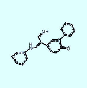 N=C/C(=C\Nc1ccccc1)c1ccc(=O)n(-c2ccccc2)c1